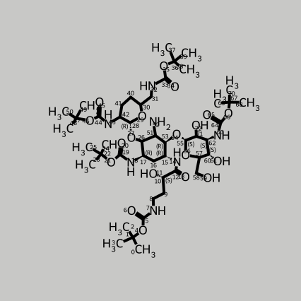 CC(C)(C)OC(=O)NCC[C@H](O)C(=O)N[C@@H]1C[C@@H](NC(=O)OC(C)(C)C)C(O[C@H]2OC(CNC(=O)OC(C)(C)C)CCC2NC(=O)OC(C)(C)C)C(N)[C@H]1O[C@H]1OC(CO)[C@@H](O)[C@H](NC(=O)OC(C)(C)C)C1O